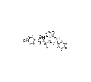 CC(C)C[C@H]1C(=O)N[C@@H](c2ccccc2)CN1C(C)c1cc(-c2ccc(F)cc2)on1